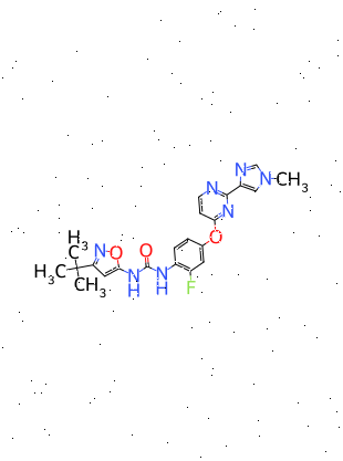 Cn1cnc(-c2nccc(Oc3ccc(NC(=O)Nc4cc(C(C)(C)C)no4)c(F)c3)n2)c1